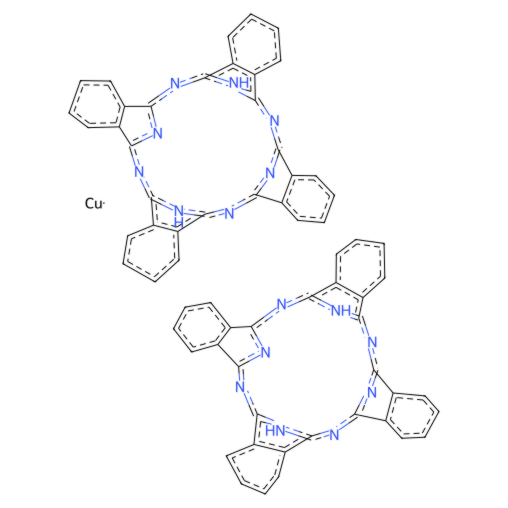 [Cu].c1ccc2c(c1)-c1nc-2nc2[nH]c(nc3nc(nc4[nH]c(n1)c1ccccc41)-c1ccccc1-3)c1ccccc21.c1ccc2c(c1)-c1nc-2nc2[nH]c(nc3nc(nc4[nH]c(n1)c1ccccc41)-c1ccccc1-3)c1ccccc21